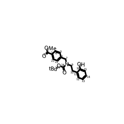 COC(=O)c1ccc(CN(CCc2ccccc2O)C(=O)OC(C)(C)C)cc1